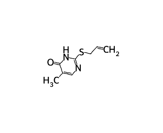 C=CCSc1ncc(C)c(=O)[nH]1